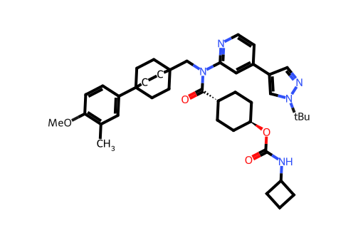 COc1ccc(C23CCC(CN(c4cc(-c5cnn(C(C)(C)C)c5)ccn4)C(=O)[C@H]4CC[C@H](OC(=O)NC5CCC5)CC4)(CC2)CC3)cc1C